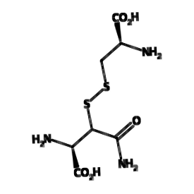 NC(=O)C(SSC[C@H](N)C(=O)O)[C@H](N)C(=O)O